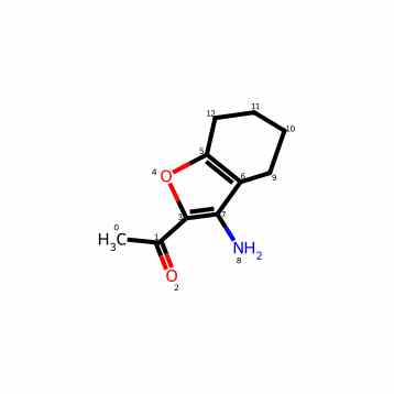 CC(=O)c1oc2c(c1N)CCCC2